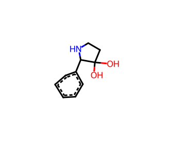 OC1(O)CCNC1c1ccccc1